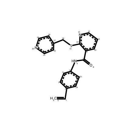 C=Cc1ccc(NC(=O)c2cccnc2SCc2ccncc2)cc1